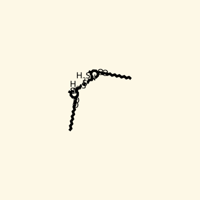 CCCCCCCCCCCOCOC1CCC(C)[SiH2]N(CCCSSCCCN2CCC(OCOCCCCCCCCCCC)CCC(C)[SiH2]2)CC1